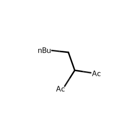 CCCCCC(C(C)=O)C(C)=O